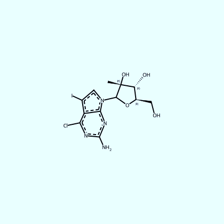 C[C@]1(O)C(n2cc(I)c3c(Cl)nc(N)nc32)O[C@H](CO)[C@H]1O